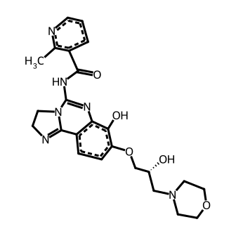 Cc1ncccc1C(=O)NC1=Nc2c(ccc(OC[C@H](O)CN3CCOCC3)c2O)C2=NCCN12